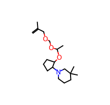 C=C(C)COCOC(C)OC1CCCC1N1CCCC(C)(C)C1